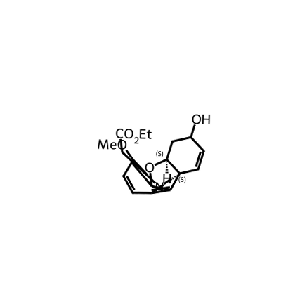 CCOC(=O)CN1CC[C@@]23C=CC(O)C[C@@H]2Oc2c(OC)ccc(c23)C1